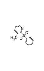 [CH2]c1cccnc1S(=O)(=O)c1ccccc1